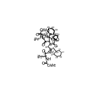 COC(=O)N[C@H](C(=O)NN(CC1CCCCC1)C[C@H](C(=O)c1ccco1)C(C(=O)[C@@H](NC(=O)OC)C(C)C)C(N)(O)c1ccccc1)C(C)C